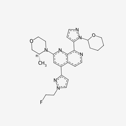 C[C@@H]1COCCN1c1cc(-c2ccn(CCF)n2)c2ccnc(-c3ccnn3C3CCCCO3)c2n1